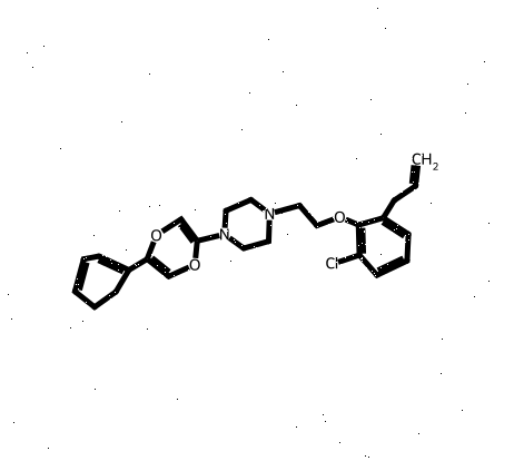 C=CCc1cccc(Cl)c1OCCN1CCN(C2=COC(C3=CC=CCC3)=CO2)CC1